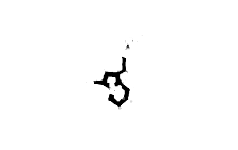 O=COCCc1cc(Cl)n2ccccc12